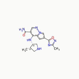 Cc1noc(-c2cc3c(N[C@@H]4CNC[C@@H]4C)c(C(N)=O)cnn3c2)n1